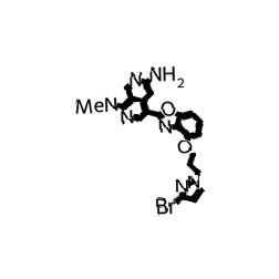 CNc1ncc(-c2nc3c(OCCCn4ccc(Br)n4)cccc3o2)c2cc(N)ncc12